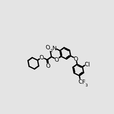 CC(Oc1cc(Oc2ccc(C(F)(F)F)cc2Cl)ccc1[N+](=O)[O-])C(=O)OC1CCCCC1